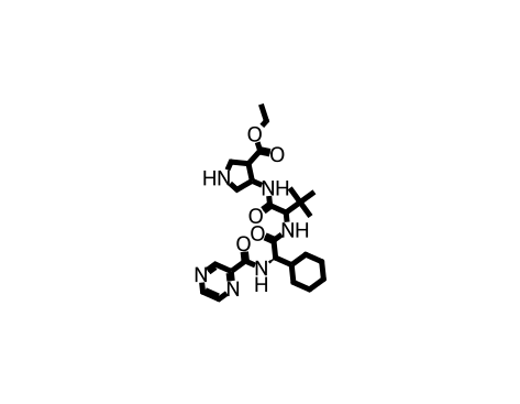 CCOC(=O)C1CNCC1NC(=O)C(NC(=O)[C@@H](NC(=O)c1cnccn1)C1CCCCC1)C(C)(C)C